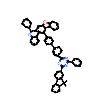 CC1(C)c2ccccc2-c2ccc(-c3nc(-c4ccccc4)nc(-c4ccc(-c5ccc(-c6c7c(cc8c(-c9ccccc9)nc9ccccc9c68)oc6ccccc67)cc5)cc4)n3)cc21